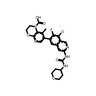 Cc1c(-c2cc3cc(NC(=O)NC4CCOCC4)ncc3c(Cl)c2F)cnc2c1N(C(=O)O)CCO2